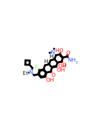 CCN(Cc1cc(O)c2c(c1F)C[C@H]1C[C@H]3[C@H](N(C)C)C(O)=C(C(N)=O)C(=O)[C@@]3(O)C(O)=C1C2=O)CC1CCC1